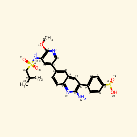 COc1ncc(-c2ccc3nc(N)c(-c4ccc(S(=O)O)cc4)cc3c2)cc1NS(=O)(=O)CC(C)C